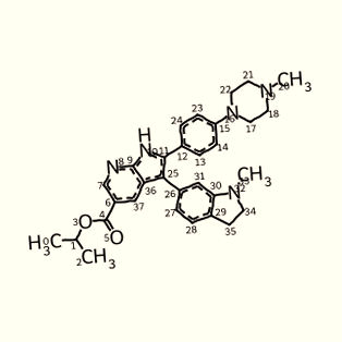 CC(C)OC(=O)c1cnc2[nH]c(-c3ccc(N4CCN(C)CC4)cc3)c(-c3ccc4c(c3)N(C)CC4)c2c1